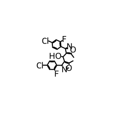 Cc1onc(-c2ccc(Cl)cc2F)c1C(O)c1c(-c2ccc(Cl)cc2F)noc1C